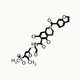 Cc1oc(C[C@@H](C=O)NC(=O)c2c(Cl)cc3c(c2Cl)CCN(C(=O)c2ccc4ccoc4c2)C3)cc1S(C)(=O)=O